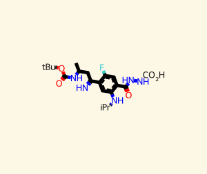 CC(C)Nc1cc(C(=N)CC(C)NC(=O)OC(C)(C)C)c(F)cc1C(=O)NNC(=O)O